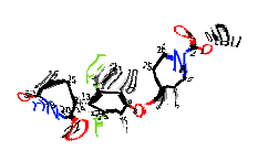 CC(C)(C)OC(=O)N1CCC(Oc2cc(F)c([C@H]3CCC(=O)NC3=O)c(F)c2)CC1